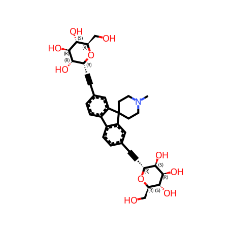 CN1CCC2(CC1)c1cc(C#C[C@H]3O[C@H](CO)[C@@H](O)[C@H](O)[C@H]3O)ccc1-c1ccc(C#C[C@H]3O[C@H](CO)[C@@H](O)[C@H](O)[C@@H]3O)cc12